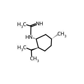 CC(=N)N[C@@H]1C[C@H](C)CC[C@H]1C(C)C